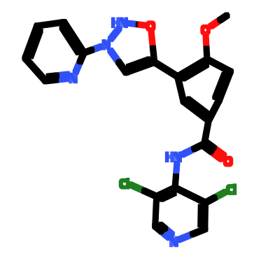 COc1ccc(C(=O)Nc2c(Cl)cncc2Cl)cc1C1=CN(c2ccccn2)NO1